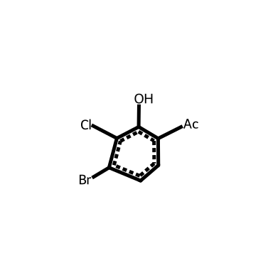 CC(=O)c1ccc(Br)c(Cl)c1O